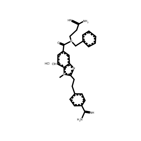 Cl.Cl.Cn1c(CCc2ccc(C(=N)N)cc2)nc2cc(C(=O)N(CCC(=N)N)Cc3ccccc3)ccc21